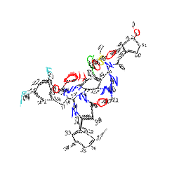 COc1ccc(CN(c2nn(C)c3c(-n4c(C(Cc5cc(F)cc(F)c5)NC(=O)O)nc(-c5ccccc5)cc4=O)ccc(Cl)c23)S(C)(=O)=O)cc1